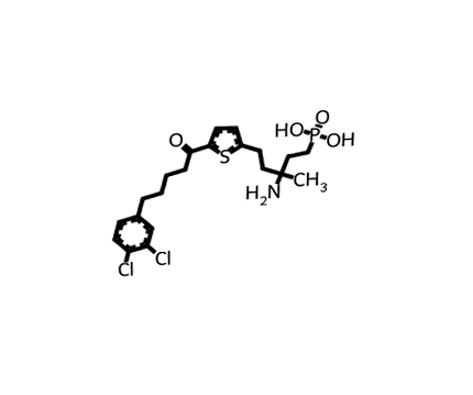 CC(N)(CCc1ccc(C(=O)CCCCc2ccc(Cl)c(Cl)c2)s1)CCP(=O)(O)O